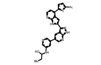 CC(=O)c1ccc(-c2ccnc3[nH]c(-c4n[nH]c5ncc(-c6cncc(NC(O)CC(C)(C)C)c6)cc45)cc23)s1